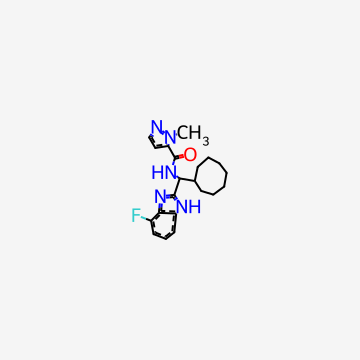 Cn1nccc1C(=O)NC(c1nc2c(F)cccc2[nH]1)C1CCCCCCC1